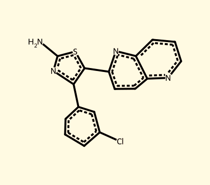 Nc1nc(-c2cccc(Cl)c2)c(-c2ccc3ncccc3n2)s1